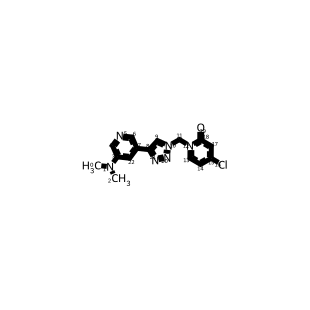 CN(C)c1cncc(-c2cn(Cn3ccc(Cl)cc3=O)nn2)c1